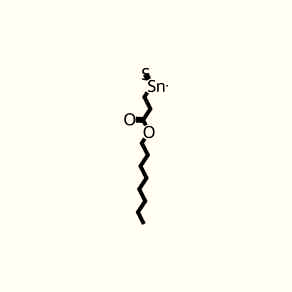 CCCCCCCCOC(=O)C[CH2][Sn]=[S]